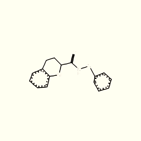 O=C(NNc1ccccc1)C1CCc2ccccc2N1